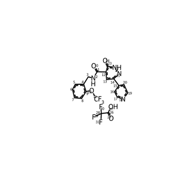 O=C(NCc1ccccc1OC(F)(F)F)c1cc(-c2ccncc2)n[nH]c1=O.O=C(O)C(F)(F)F